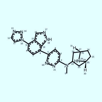 CN(c1ccc(-c2ccc(-n3ccnn3)c3cn[nH]c23)nn1)C1C[C@H]2CC[C@@H](C1)N2